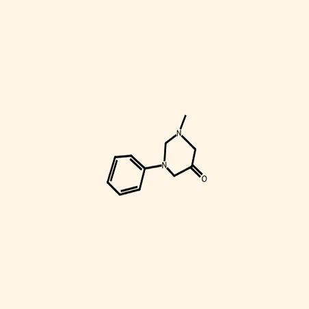 CN1CC(=O)CN(c2ccccc2)C1